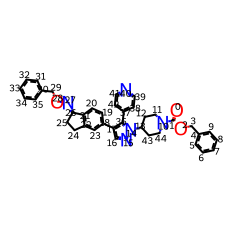 O=C(OCc1ccccc1)N1CCC(n2ncc(-c3ccc4c(c3)CC/C4=N\OCc3ccccc3)c2-c2ccncc2)CC1